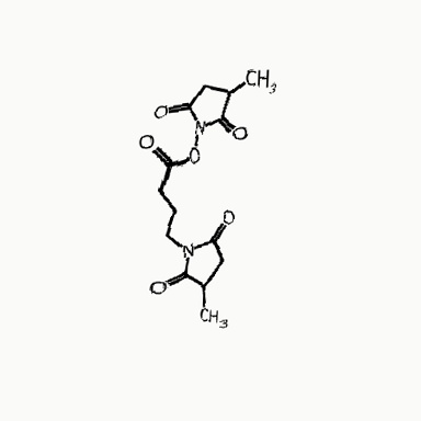 CC1CC(=O)N(CCCC(=O)ON2C(=O)CC(C)C2=O)C1=O